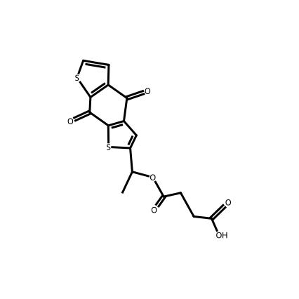 CC(OC(=O)CCC(=O)O)c1cc2c(s1)C(=O)c1sccc1C2=O